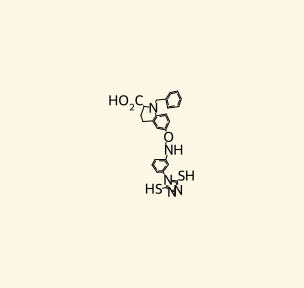 O=C(O)C1CCc2cc(OCNc3cccc(-n4c(S)nnc4S)c3)ccc2N1Cc1ccccc1